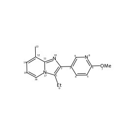 CCc1c(-c2ccc(OC)nc2)nc2c(C)cccn12